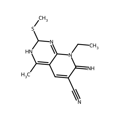 CCn1c(=N)c(C#N)cc2c1=NC(SC)NC=2C